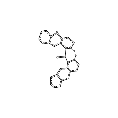 O=C(c1c(Cl)ccc2nc3ccccc3cc12)c1c(Cl)ccc2nc3ccccc3cc12